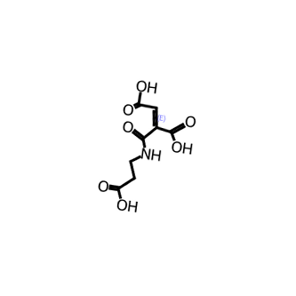 O=C(O)/C=C(/C(=O)O)C(=O)NCCC(=O)O